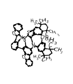 Cc1cc2c(cc1N1c3cc4c(oc5ccccc54)c4c3B(c3sc5cc6c(cc5c31)C(C)(C)CCC6(C)C)n1c3c-4cccc3c3oc4ccccc4c31)C(C)(C)CCC2(C)C